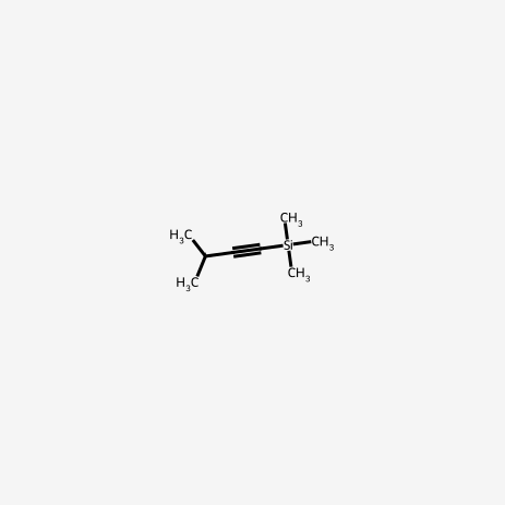 C[C](C)C#C[Si](C)(C)C